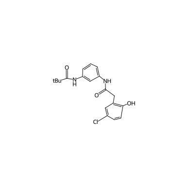 CC(C)(C)C(=O)Nc1cccc(NC(=O)Cc2cc(Cl)ccc2O)c1